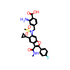 CNC(=O)c1c(-c2ccc(F)cc2)oc2cc(N(Cc3ccc(C(=O)O)c(N)c3)S(C)(=O)=O)c(C3CC3)cc12